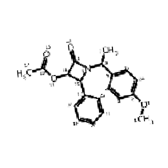 COc1ccc(C(C)N2C(=O)C(OC(C)=O)C2c2ccccc2)cc1